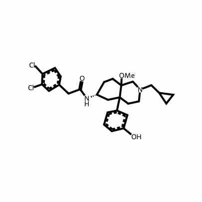 COC12CC[C@@H](NC(=O)Cc3ccc(Cl)c(Cl)c3)CC1(c1cccc(O)c1)CCN(CC1CC1)C2